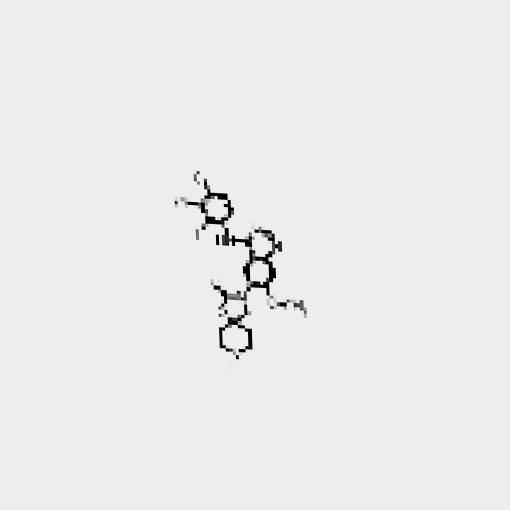 COc1cc2ncnc(Nc3ccc(Cl)c(Cl)c3F)c2cc1N1CC2(CCNCC2)OC1=O